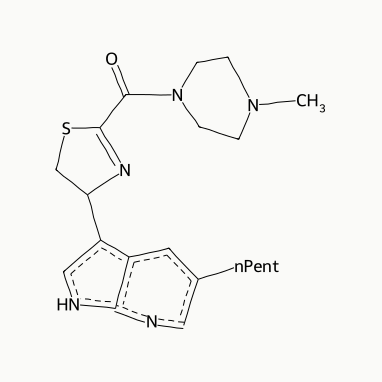 CCCCCc1cnc2[nH]cc(C3CSC(C(=O)N4CCN(C)CC4)=N3)c2c1